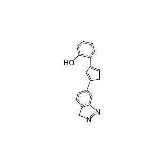 Oc1ccccc1C1=CCC(c2ccc3c(c2)N=NC3)=C1